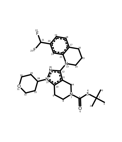 CC(C)(C)SC(=O)N1CCc2c(c(N3CCCc4ccc(C(F)F)cc43)nn2C2CCOCC2)C1